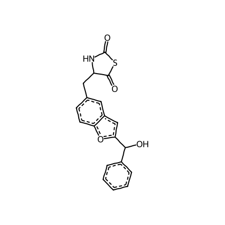 O=C1NC(Cc2ccc3oc(C(O)c4ccccc4)cc3c2)C(=O)S1